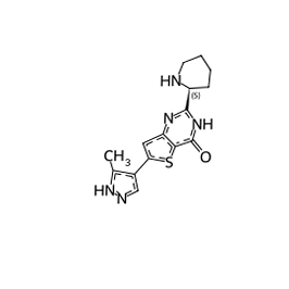 Cc1[nH]ncc1-c1cc2nc([C@@H]3CCCCN3)[nH]c(=O)c2s1